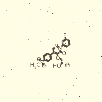 CC(C)[C@H](O)COc1c(-c2ccc(S(C)(=O)=O)cc2)cnn(-c2cccc(F)c2)c1=O